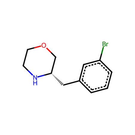 Brc1cccc(C[C@H]2COCCN2)c1